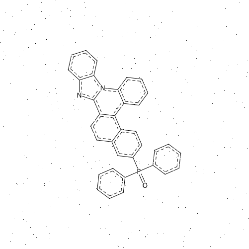 O=P(c1ccccc1)(c1ccccc1)c1ccc2c(ccc3c2c2ccccc2n2c4ccccc4nc32)c1